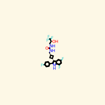 O=C(NC[C@@H](O)C(F)(F)F)NC[C@H]1C[C@H](c2c(-c3ccc(F)cc3)[nH]c3c(F)cc(F)cc32)C1